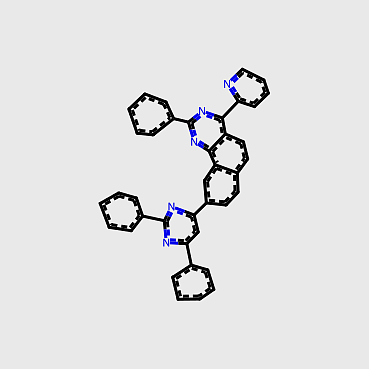 c1ccc(-c2cc(-c3ccc4ccc5c(-c6ccccn6)nc(-c6ccccc6)nc5c4c3)nc(-c3ccccc3)n2)cc1